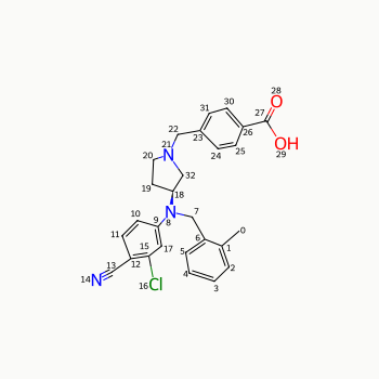 Cc1ccccc1CN(c1ccc(C#N)c(Cl)c1)[C@H]1CCN(Cc2ccc(C(=O)O)cc2)C1